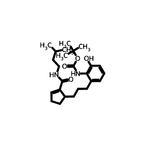 CC(C)CCNC(=O)C1=CCCC1CCCc1cccc(O)c1NC(=O)OC(C)(C)C